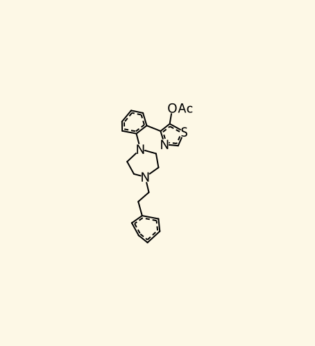 CC(=O)Oc1scnc1-c1ccccc1N1CCN(CCc2ccccc2)CC1